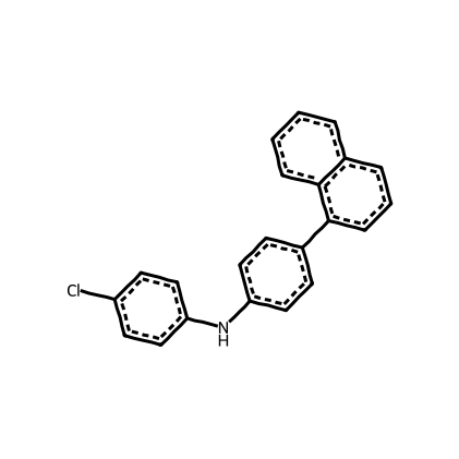 Clc1ccc(Nc2ccc(-c3cccc4ccccc34)cc2)cc1